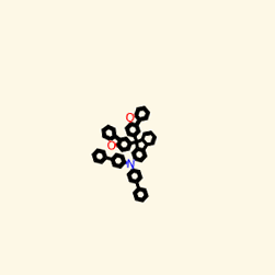 C1=CC2c3ccc(N(c4ccc(-c5ccccc5)cc4)c4ccc(-c5ccccc5)cc4)cc3C(c3ccc4oc5ccccc5c4c3)(c3ccc4oc5ccccc5c4c3)C2C=C1